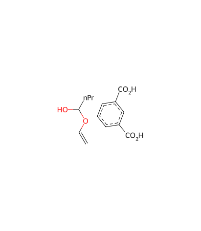 C=COC(O)CCC.O=C(O)c1cccc(C(=O)O)c1